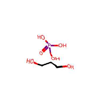 O=P(O)(O)O.OCCCO